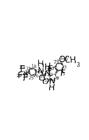 COc1cc(F)c(C2CNC(=O)C2NC(=O)Nc2ccc(C(F)(F)F)cc2)c(F)c1